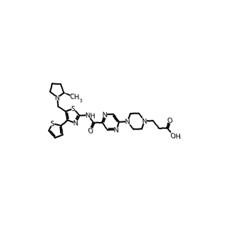 C[C@@H]1CCCN1Cc1sc(NC(=O)c2cnc(N3CCN(CCC(=O)O)CC3)cn2)nc1-c1cccs1